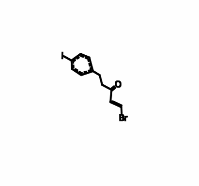 O=C(C=CBr)CCc1ccc(I)cc1